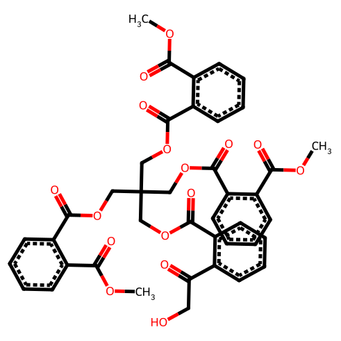 COC(=O)c1ccccc1C(=O)OCC(COC(=O)c1ccccc1C(=O)CO)(COC(=O)c1ccccc1C(=O)OC)COC(=O)c1ccccc1C(=O)OC